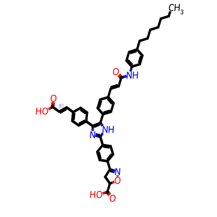 CCCCCCCc1ccc(NC(=O)C=Cc2ccc(-c3[nH]c(-c4ccc(C5=NOC(C(=O)O)C5)cc4)nc3-c3ccc(/C=C/C(=O)O)cc3)cc2)cc1